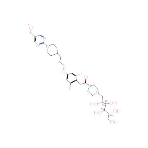 COCc1cnc(N2CCC(CCCOc3cc(F)c(CC(=O)N4CCN(C[C@H](O)[C@@H](O)[C@H](O)[C@H](O)CO)CC4)c(F)c3)CC2)nc1